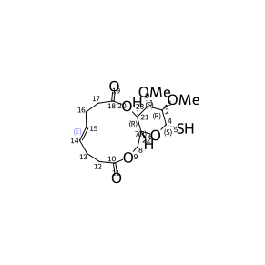 CO[C@@H]1[C@@H](OC)[C@H](S)O[C@@H]2COC(=O)CC/C=C/CCC(=O)O[C@@H]12